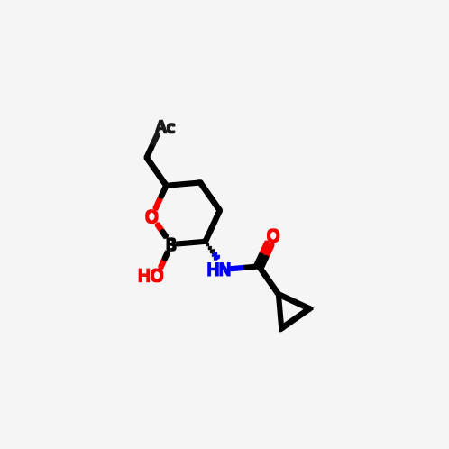 CC(=O)CC1CC[C@H](NC(=O)C2CC2)B(O)O1